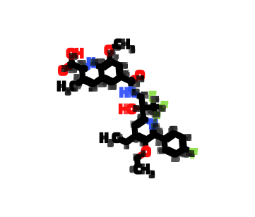 CCOc1c(CC)cc([C@@](O)(CNC(=O)c2cc(OC)c3nc(C(=O)O)c(C)cc3c2)C(F)(F)F)nc1-c1ccc(F)cc1